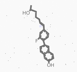 CC(O)CCC/C=C/c1ccc(-c2ccc3cc(O)ccc3c2)c(F)c1